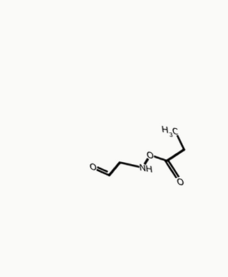 CCC(=O)ONCC=O